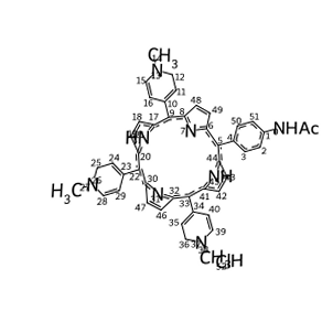 CC(=O)Nc1ccc(-c2c3nc(c(C4=CCN(C)C=C4)c4ccc([nH]4)c(C4=CCN(C)C=C4)c4nc(c(C5=CCN(C)C=C5)c5ccc2[nH]5)C=C4)C=C3)cc1.Cl